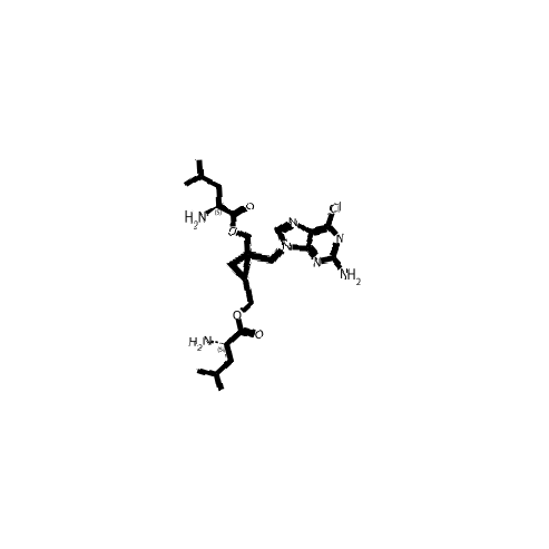 CC(C)C[C@H](N)C(=O)OCC1CC1(COC(=O)[C@@H](N)CC(C)C)Cn1cnc2c(Cl)nc(N)nc21